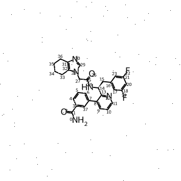 NC(=O)c1cccc(-c2cccnc2[C@H](Cc2cc(F)cc(F)c2)NC(=O)Cn2cnc3c2CCCC3)c1